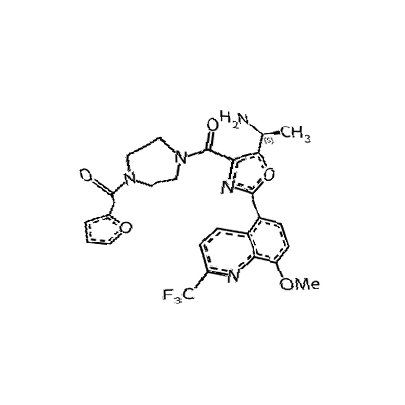 COc1ccc(-c2nc(C(=O)N3CCN(C(=O)c4ccco4)CC3)c([C@H](C)N)o2)c2ccc(C(F)(F)F)nc12